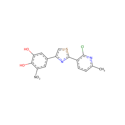 Cc1ccc(-c2nc(-c3cc(O)c(O)c([N+](=O)[O-])c3)cs2)c(Cl)n1